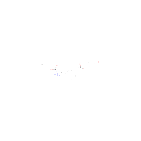 CC(C)(C)OC(=O)N[C@H]1CCC(C(=O)OC(C)(C)O)C1